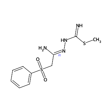 CSC(=N)N/N=C(\N)CS(=O)(=O)c1ccccc1